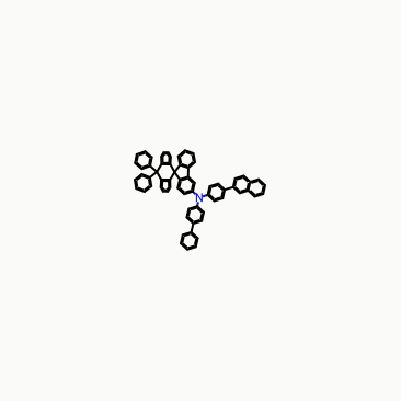 c1ccc(-c2ccc(N(c3ccc(-c4ccc5ccccc5c4)cc3)c3ccc4c(c3)-c3ccccc3C43c4ccccc4C(c4ccccc4)(c4ccccc4)c4ccccc43)cc2)cc1